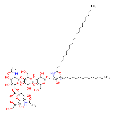 CCCCCCCCCCCCC/C=C/[C@@H](O)[C@H](CO[C@@H]1OC(CO)[C@@H](O[C@@H]2OC(CO)[C@H](O[C@@H]3OC(CO[C@]4(C(=O)O)CC(O)[C@@H](NC(C)=O)C([C@H](O)[C@H](O)CO)O4)[C@H](O)[C@H](O)C3NC(C)=O)[C@H](O)C2O)[C@H](O)C1O)NC(=O)CCCCCCCCCCCCCCCCCCCCCCC